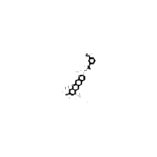 CN(C)C1C(O)=C(C(N)=O)C(=O)C2(O)C(O)=C3C(=O)c4c(ccc(Nc5nc(-c6cccc([N+](=O)[O-])c6)cs5)c4O)CC3CC12